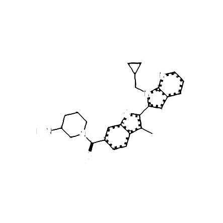 Cc1c(-c2cc3cccnc3n2CC2CC2)oc2cc(C(=O)N3CCCC(N)C3)ccc12